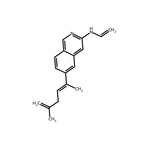 C=CNc1cc2cc(/C(C)=C/CC(=C)C)ccc2cn1